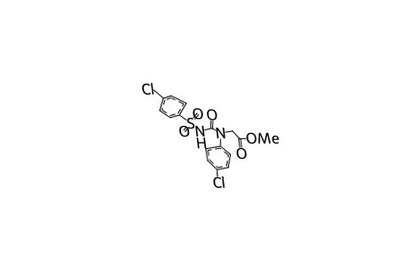 COC(=O)CN(C(=O)NS(=O)(=O)c1ccc(Cl)cc1)c1ccc(Cl)cc1